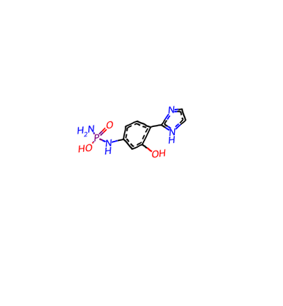 NP(=O)(O)Nc1ccc(-c2ncc[nH]2)c(O)c1